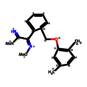 CNC(=N)/C(=N\OC)c1ccccc1COc1cc(C)ccc1C